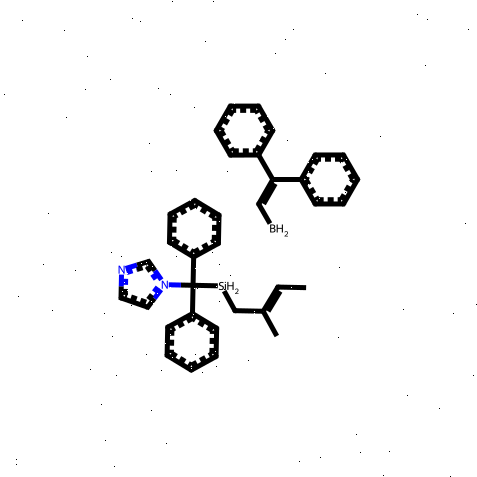 BC=C(c1ccccc1)c1ccccc1.CC=C(C)C[SiH2]C(c1ccccc1)(c1ccccc1)n1ccnc1